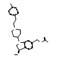 CC(=O)NCc1ccc2c(c1)N(C1CCN(CCc3ccc(F)cc3)CC1)CC2=NO